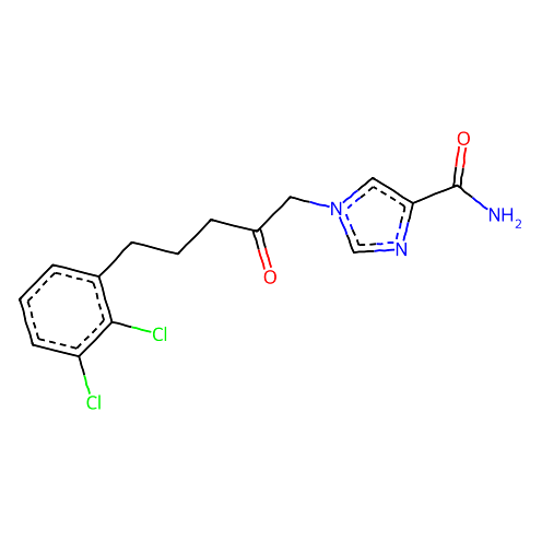 NC(=O)c1cn(CC(=O)CCCc2cccc(Cl)c2Cl)cn1